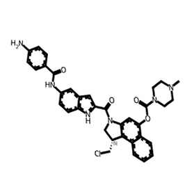 CN1CCN(C(=O)Oc2cc3c(c4ccccc24)[C@H](CCl)CN3C(=O)c2cc3cc(NC(=O)c4ccc(N)cc4)ccc3[nH]2)CC1